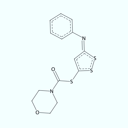 O=C(Sc1cc(=Nc2ccccc2)ss1)N1CCOCC1